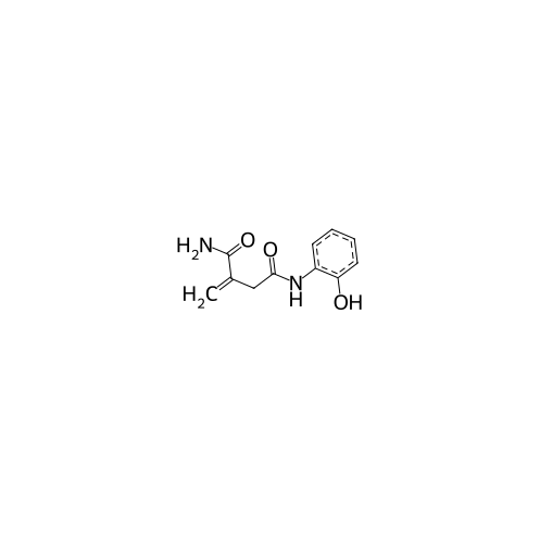 C=C(CC(=O)Nc1ccccc1O)C(N)=O